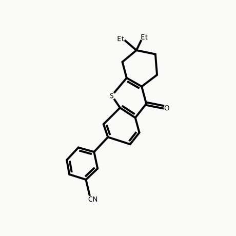 CCC1(CC)CCc2c(sc3cc(-c4cccc(C#N)c4)ccc3c2=O)C1